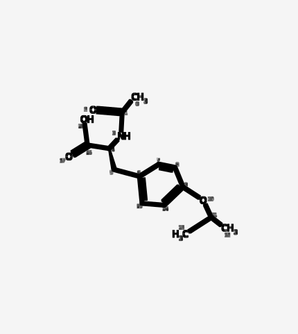 CC(=O)N[C@@H](Cc1ccc(OC(C)C)cc1)C(=O)O